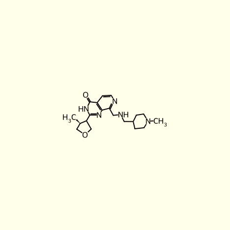 C[C@@H]1COCC1c1nc2c(CNCC3CCN(C)CC3)nccc2c(=O)[nH]1